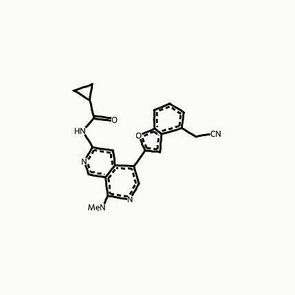 CNc1ncc(-c2cc3c(CC#N)cccc3o2)c2cc(NC(=O)C3CC3)ncc12